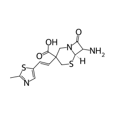 Cc1ncc(C=CC2(C(=O)O)CS[C@@H]3C(N)C(=O)N3C2)s1